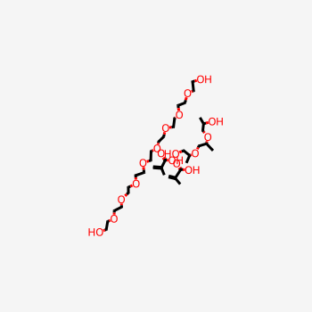 C=C(C)C(=O)O.C=C(C)C(=O)O.CC(O)COC(C)COC(C)CO.OCCOCCOCCOCCOCCOCCOCCOCCOCCO